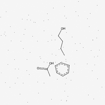 CC(=O)O.CCCCO.c1ccccc1